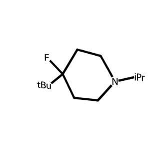 CC(C)N1CCC(F)(C(C)(C)C)CC1